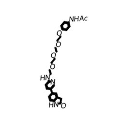 CC(=O)Nc1ccc(OCCOCCOCCOCCNc2ccc(-c3ccc4c(c3)CC(=O)N4)cn2)cc1